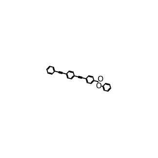 O=C(Oc1ccccc1)c1ccc(C#Cc2ccc(C#Cc3ccccc3)cc2)cc1